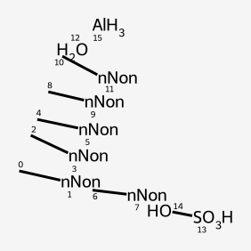 CCCCCCCCCC.CCCCCCCCCC.CCCCCCCCCC.CCCCCCCCCC.CCCCCCCCCC.CCCCCCCCCC.O.O=S(=O)(O)O.[AlH3]